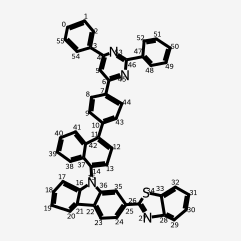 c1ccc(-c2cc(-c3ccc(-c4ccc(-n5c6ccccc6c6ccc(-c7nc8ccccc8s7)cc65)c5ccccc45)cc3)nc(-c3ccccc3)n2)cc1